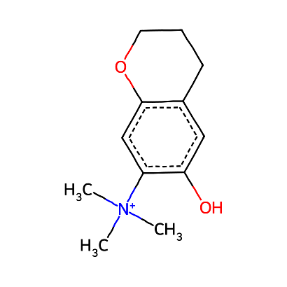 C[N+](C)(C)c1cc2c(cc1O)CCCO2